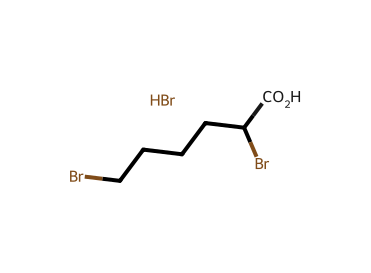 Br.O=C(O)C(Br)CCCCBr